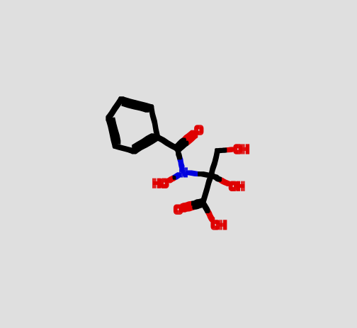 O=C(c1ccccc1)N(O)C(O)(CO)C(=O)O